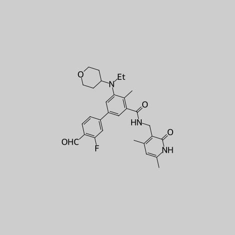 CCN(c1cc(-c2ccc(C=O)c(F)c2)cc(C(=O)NCc2c(C)cc(C)[nH]c2=O)c1C)C1CCOCC1